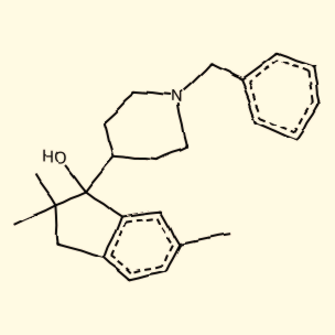 Cc1ccc2c(c1)C(O)(C1CCN(Cc3ccccc3)CC1)C(C)(C)C2